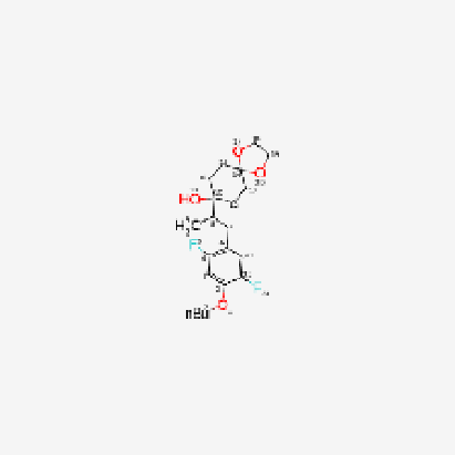 CCCCOc1cc(F)c(CC(C)C2(O)CCC3(CC2)OCCO3)cc1F